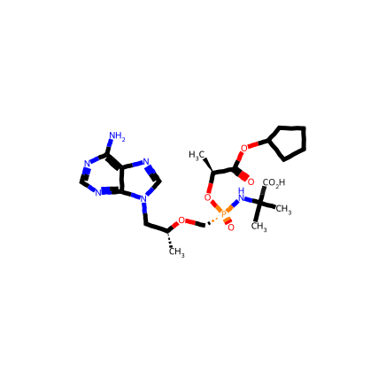 C[C@H](Cn1cnc2c(N)ncnc21)OC[P@@](=O)(NC(C)(C)C(=O)O)O[C@@H](C)C(=O)OC1CCCC1